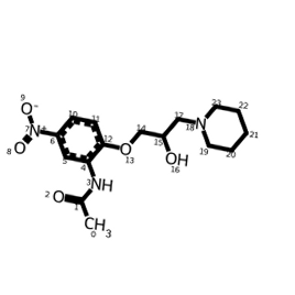 CC(=O)Nc1cc([N+](=O)[O-])ccc1OCC(O)CN1CCCCC1